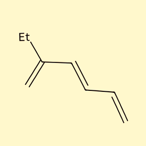 C=C/C=C/C(=C)CC